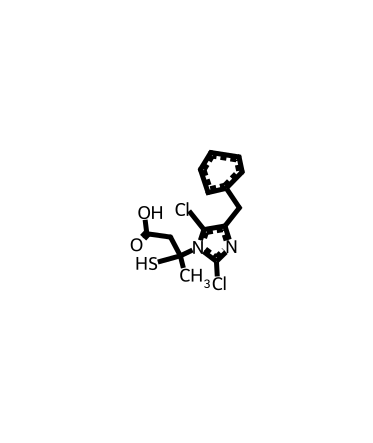 CC(S)(CC(=O)O)n1c(Cl)nc(Cc2ccccc2)c1Cl